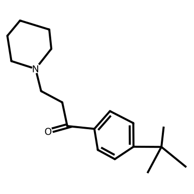 CC(C)(C)c1ccc(C(=O)CCN2CCCCC2)cc1